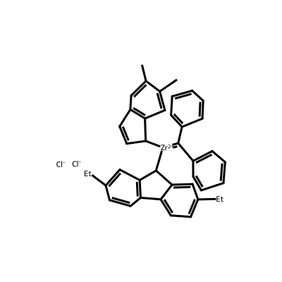 CCc1ccc2c(c1)[CH]([Zr+2](=[C](c1ccccc1)c1ccccc1)[CH]1C=Cc3cc(C)c(C)cc31)c1cc(CC)ccc1-2.[Cl-].[Cl-]